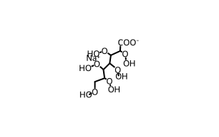 O=C([O-])C(OO)C(OO)C(OO)C(OO)C(COO)OO.[Na+]